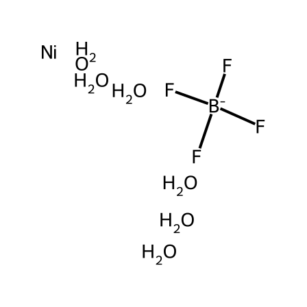 F[B-](F)(F)F.O.O.O.O.O.O.[Ni]